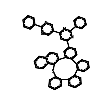 c1ccc(-c2ncc(-c3cc(-c4ccc5c(c4)-c4ccc6ccccc6c4Sc4ccccc4-c4ccccc4-c4ccccc4-5)nc(-c4ccccc4)n3)cn2)cc1